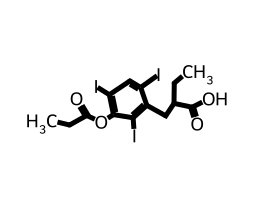 CCC(=O)Oc1c(I)cc(I)c(CC(CC)C(=O)O)c1I